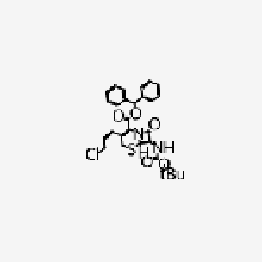 CC(C)(C)OC(=O)NC1C(=O)N2C(C(=O)OC(c3ccccc3)c3ccccc3)=C(/C=C\CCl)CS[C@@H]12